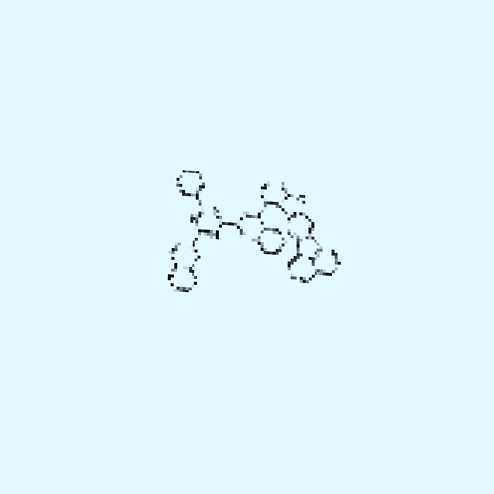 c1ccc(-c2nc(-c3ccc4ccccc4c3)nc(-c3cc(-c4cccc5oc6cc7c(cc6c45)-c4cccc5cccc-7c45)c4ccccc4c3)n2)cc1